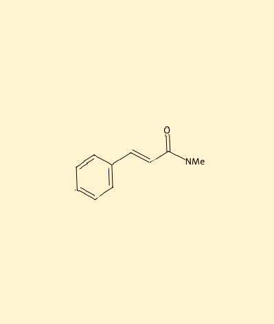 CNC(=O)C=Cc1cc[c]cc1